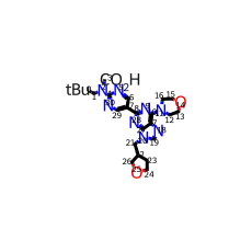 CC(C)(C)CN(C(=O)O)c1ncc(-c2nc(N3CCOCC3)c3ncn(CC4CCOC4)c3n2)cn1